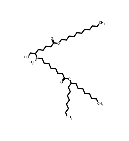 CCCCCCCCCCCOC(=O)CCCCC(CO)N(C)CCCCCCCC(=O)OC(CCCCCCCC)CCCCCCCC